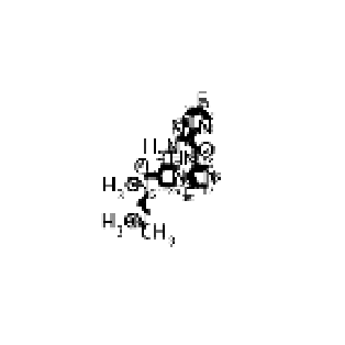 CN(C)CCCN(C)C(=O)C1CCN(c2c(F)cncc2NC(=O)c2c(N)nn3cc(F)cnc23)CC1